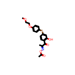 COCCOc1ccc(Sc2ccc(C(=O)/C(C)=N/OC(C)=O)c(O)c2)cc1